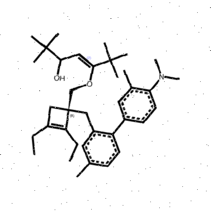 CCC1=C(CC)[C@@](CO/C(=C\C(O)C(C)(C)C)C(C)(C)C)(Cc2cc(C)ccc2-c2ccc(N(C)C)c(C)c2)C1